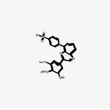 COc1cc(-c2cnc3cccc(-c4ccc(S(=O)(=O)C(C)C)cc4)c3n2)cc(OC)c1OC